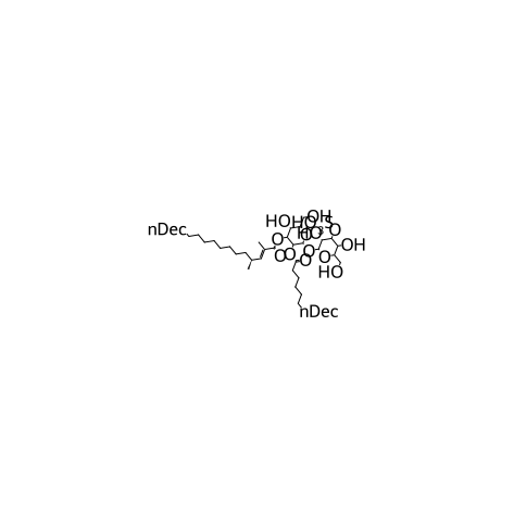 CCCCCCCCCCCCCCCCCC[C@H](C)/C=C(\C)C(=O)OC1C(O)C(CO)OC(OC2OC(CO)C(O)C(OS(=O)(=O)O)C2O)C1OC(=O)CCCCCCCCCCCCCCC